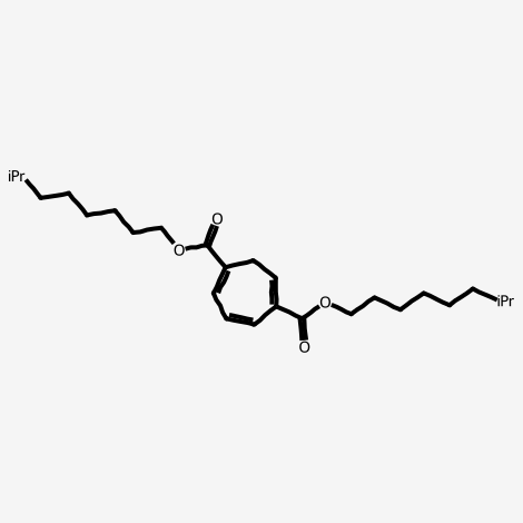 CC(C)CCCCCCOC(=O)C1=CCC(C(=O)OCCCCCCC(C)C)=CC=C1